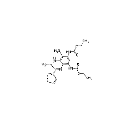 CCOC(=O)Nc1nc(NC(=O)OCC)c2c(c1N)NC(C)C(c1ccccc1)=N2